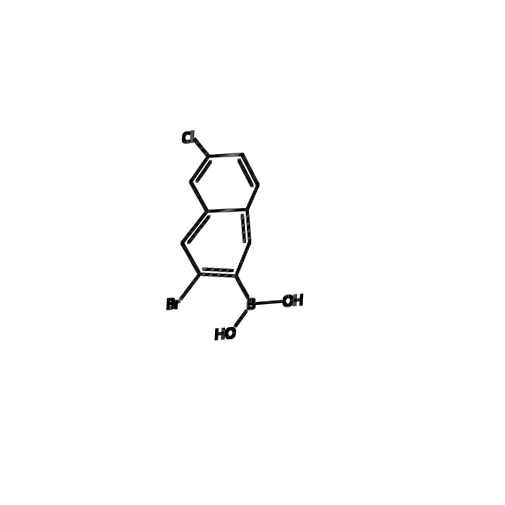 OB(O)c1cc2ccc(Cl)cc2cc1Br